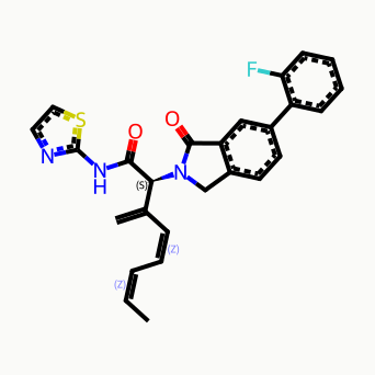 C=C(/C=C\C=C/C)[C@@H](C(=O)Nc1nccs1)N1Cc2ccc(-c3ccccc3F)cc2C1=O